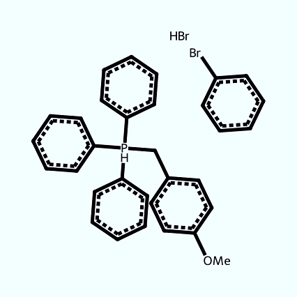 Br.Brc1ccccc1.COc1ccc(C[PH](c2ccccc2)(c2ccccc2)c2ccccc2)cc1